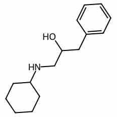 OC(CNC1CCCCC1)Cc1ccccc1